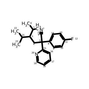 CC(C)C(CC(C#N)(c1ccc(F)cc1)c1ccccn1)C(C)C